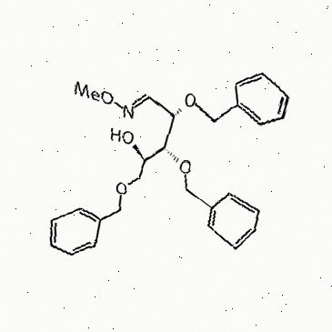 CON=C[C@H](OCc1ccccc1)[C@H](OCc1ccccc1)[C@H](O)COCc1ccccc1